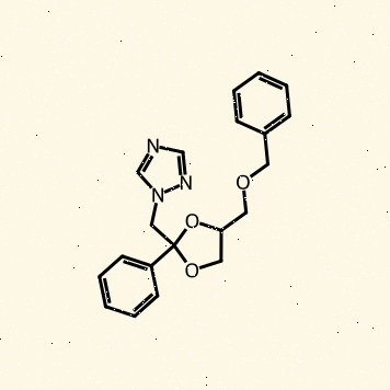 c1ccc(COCC2COC(Cn3cncn3)(c3ccccc3)O2)cc1